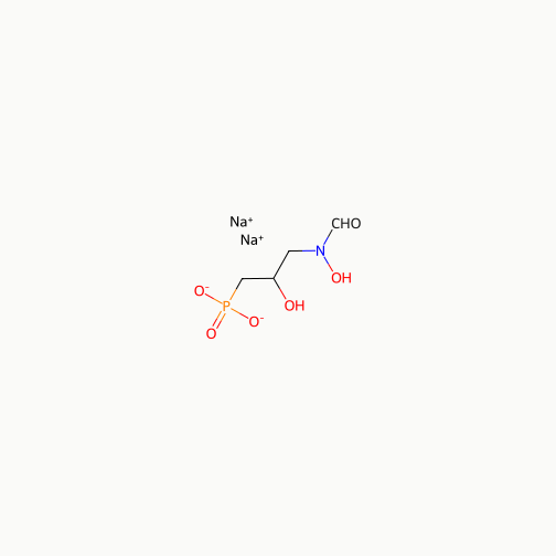 O=CN(O)CC(O)CP(=O)([O-])[O-].[Na+].[Na+]